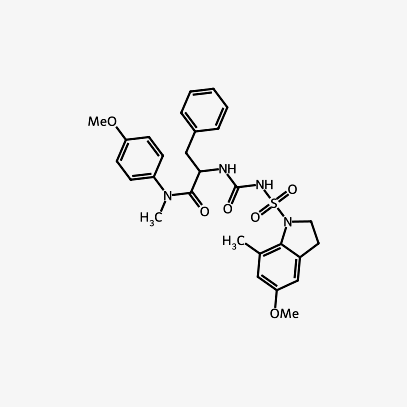 COc1ccc(N(C)C(=O)C(Cc2ccccc2)NC(=O)NS(=O)(=O)N2CCc3cc(OC)cc(C)c32)cc1